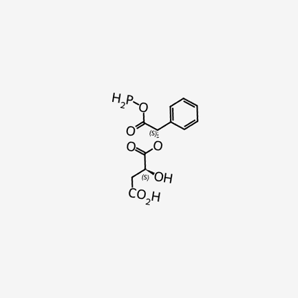 O=C(O)C[C@H](O)C(=O)O[C@H](C(=O)OP)c1ccccc1